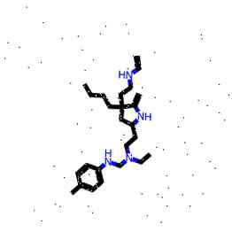 C=CNCCC1(CCCC)CC(CCN(CC)CNc2ccc(C)cc2)NC1=C